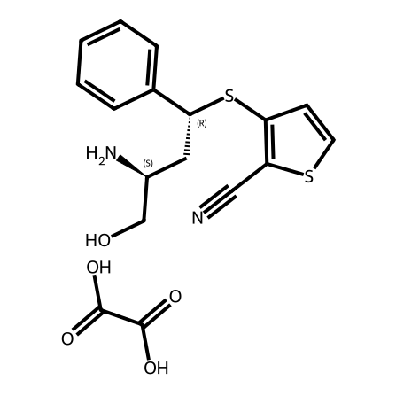 N#Cc1sccc1S[C@H](C[C@H](N)CO)c1ccccc1.O=C(O)C(=O)O